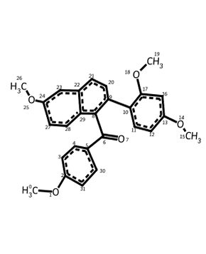 COc1ccc(C(=O)c2c(-c3ccc(OC)cc3OC)ccc3cc(OC)ccc23)cc1